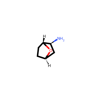 N[C@H]1C[C@H]2CC[C@H]1O2